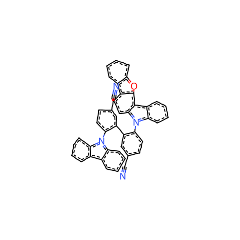 N#Cc1ccc(-n2c3ccccc3c3ccccc32)c(-c2cc(C#N)ccc2-n2c3ccccc3c3c4oc5ccccc5c4ccc32)c1